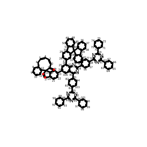 C=C1/C=C\C=C/Cc2ccccc2C12c1ccccc1-c1ccc(-c3cc(-c4ccc5c(c4)C4(c6ccccc6-c6ccccc64)c4ccccc4-5)c4nc(-c5ccc(-c6nc(-c7ccccc7)nc(-c7ccccc7)n6)cc5)nc(-c5ccc(-c6nc(-c7ccccc7)nc(-c7ccccc7)n6)cc5)c4c3)cc12